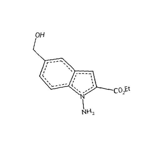 CCOC(=O)c1cc2cc(CO)ccc2n1N